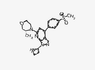 C[C@@H]1COCCN1c1cc(-c2ccc(S(C)(=O)=O)cc2)c2cnn(-c3ccn[nH]3)c2n1